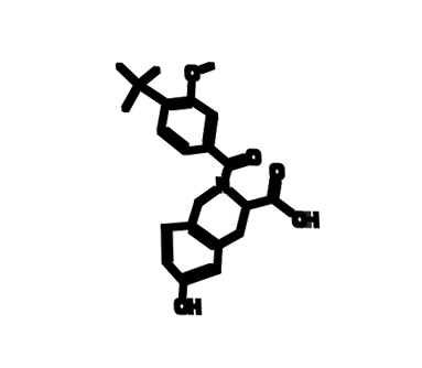 COc1cc(C(=O)N2Cc3ccc(O)cc3CC2C(=O)O)ccc1C(C)(C)C